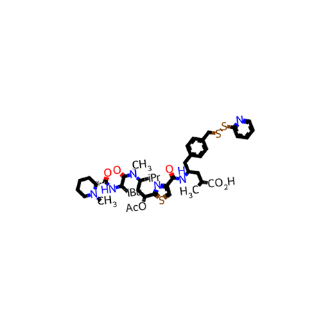 CCC(C)C(NC(=O)[C@H]1CCCCN1C)C(=O)N(C)C(CC(OC(C)=O)c1nc(C(=O)NC(Cc2ccc(CSSc3ccccn3)cc2)CC(C)C(=O)O)cs1)C(C)C